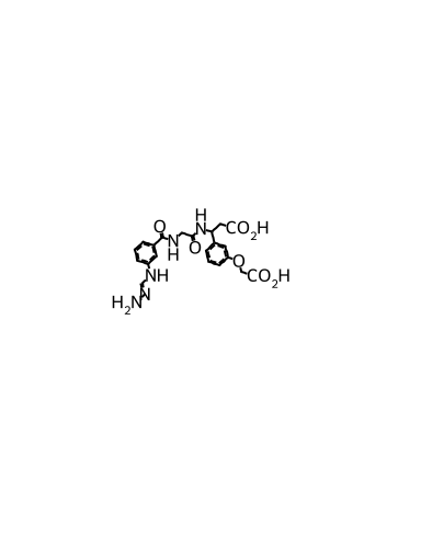 NN=CNc1cccc(C(=O)NCC(=O)NC(CC(=O)O)c2cccc(OCC(=O)O)c2)c1